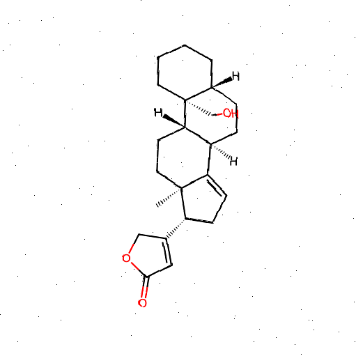 C[C@]12CC[C@H]3[C@@H](CC[C@H]4CCCC[C@@]43CO)C1=CC[C@@H]2C1=CC(=O)OC1